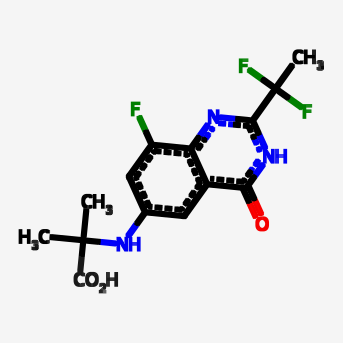 CC(C)(Nc1cc(F)c2nc(C(C)(F)F)[nH]c(=O)c2c1)C(=O)O